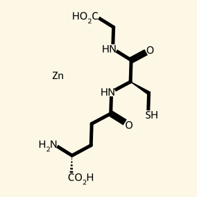 N[C@H](CCC(=O)N[C@H](CS)C(=O)NCC(=O)O)C(=O)O.[Zn]